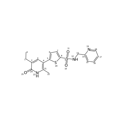 CCc1cc(-c2ccc(S(=O)(=O)NCc3ccccn3)s2)c(C)[nH]c1=O